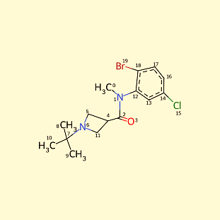 CN(C(=O)C1CN(C(C)(C)C)C1)c1cc(Cl)ccc1Br